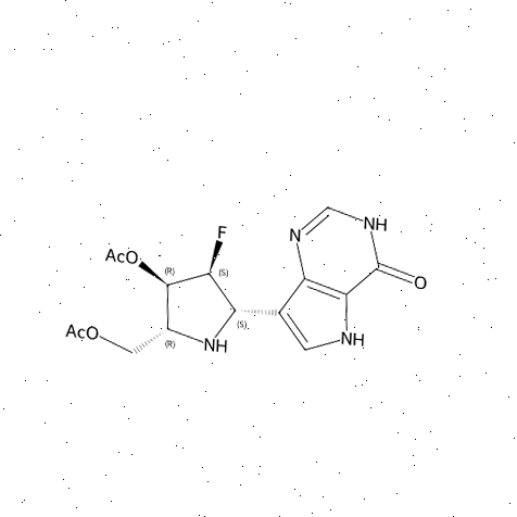 CC(=O)OC[C@H]1N[C@@H](c2c[nH]c3c(=O)[nH]cnc23)[C@H](F)[C@@H]1OC(C)=O